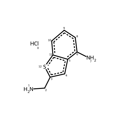 Cl.NCc1cc2c(N)cccc2s1